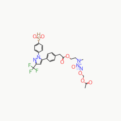 CC(=O)OCO/N=[N+](\[O-])N(C)CCOC(=O)Cc1ccc(-c2cc(C(F)(F)F)nn2-c2ccc([SH](=O)=O)cc2)cc1